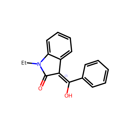 CCN1C(=O)/C(=C(\O)c2ccccc2)c2ccccc21